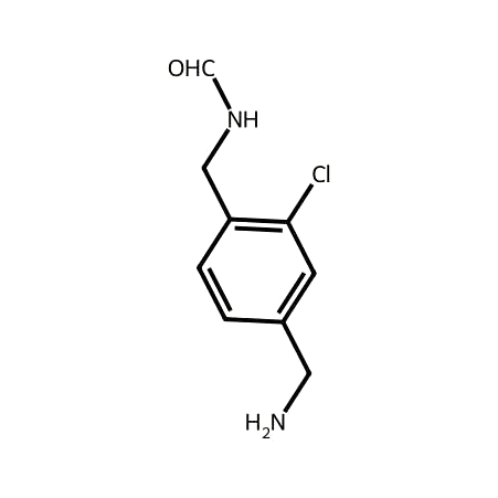 NCc1ccc(CNC=O)c(Cl)c1